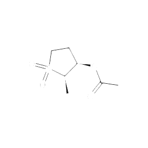 CC(=O)O[C@@H]1CCS(=O)(=O)[C@@H]1C